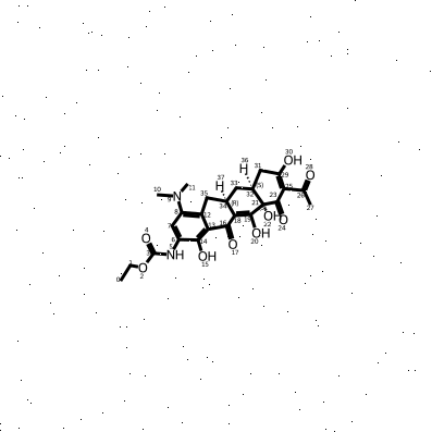 CCOC(=O)Nc1cc(N(C)C)c2c(c1O)C(=O)C1=C(O)[C@]3(O)C(=O)C(C(C)=O)=C(O)C[C@@H]3C[C@@H]1C2